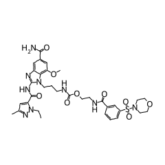 CCn1nc(C)cc1C(=O)Nc1nc2cc(C(N)=O)cc(OC)c2n1CCCNC(=O)OCCNC(=O)c1cccc(S(=O)(=O)N2CCOCC2)c1